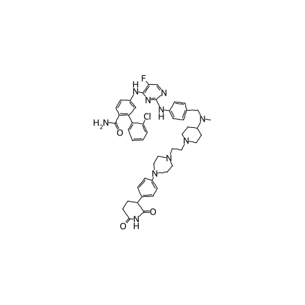 CN(Cc1ccc(Nc2ncc(F)c(Nc3ccc(C(N)=O)c(-c4ccccc4Cl)c3)n2)cc1)C1CCN(CCN2CCN(c3ccc(C4CCC(=O)NC4=O)cc3)CC2)CC1